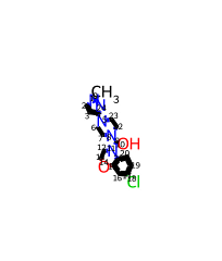 Cn1ccc(N2CCN(C(O)N3CCOc4cc(Cl)ccc43)CC2)n1